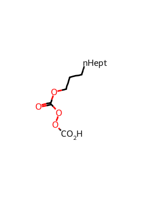 CCCCCCCCCCOC(=O)OOC(=O)O